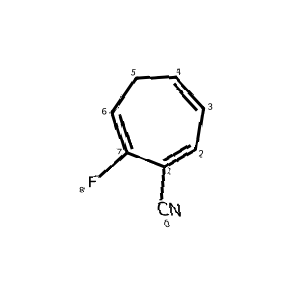 N#CC1=CC=CCC=C1F